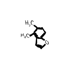 Cc1ccc2occc2c1C